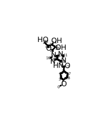 COc1ccc(C(=O)Nc2ncnc3c2ncn3C2OC(CO)C(O)C2O)cc1